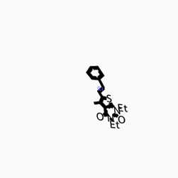 CCn1c(=O)c2c(C)c(/C=C/c3ccccc3)sc2n(CC)c1=O